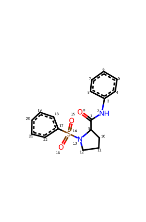 O=C(Nc1ccccc1)C1CCCN1S(=O)(=O)c1ccccc1